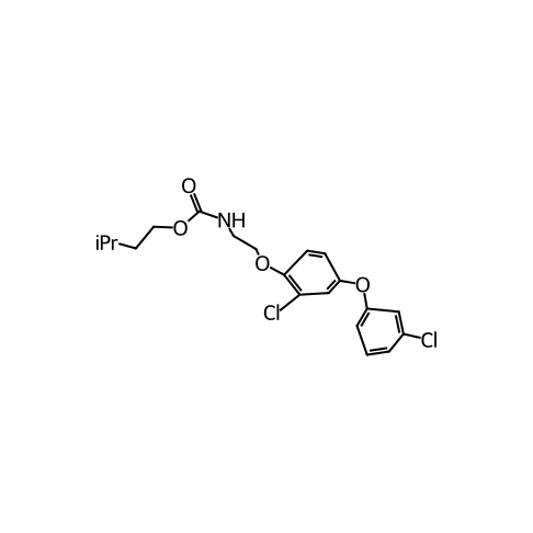 CC(C)CCOC(=O)NCCOc1ccc(Oc2cccc(Cl)c2)cc1Cl